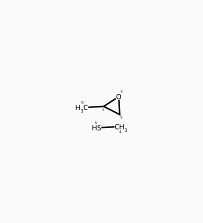 CC1CO1.CS